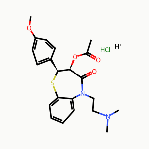 COc1ccc([C@@H]2Sc3ccccc3N(CCN(C)C)C(=O)[C@@H]2OC(C)=O)cc1.Cl.[H+]